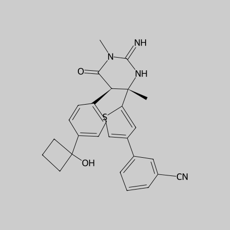 CN1C(=N)N[C@](C)(c2cc(-c3cccc(C#N)c3)cs2)[C@@H](c2ccc(C3(O)CCC3)cc2)C1=O